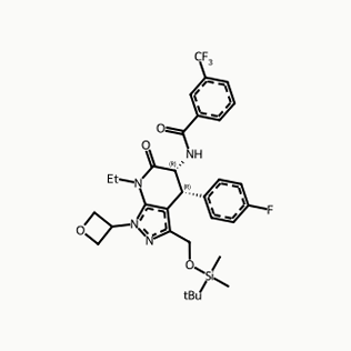 CCN1C(=O)[C@H](NC(=O)c2cccc(C(F)(F)F)c2)[C@H](c2ccc(F)cc2)c2c(CO[Si](C)(C)C(C)(C)C)nn(C3COC3)c21